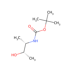 C[C@H](O)[C@H](C)NC(=O)OC(C)(C)C